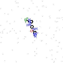 O=C(N[C@H]1CC[C@@H](Nc2cccc3nc(C(F)(F)F)cn23)CC1)c1cc[n+]2cncn2c1